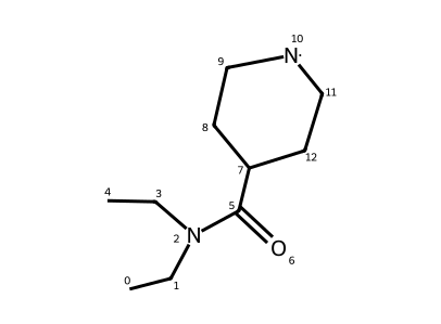 CCN(CC)C(=O)C1CC[N]CC1